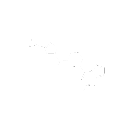 Cc1cc(C2CCCN(C(=O)c3cc(C4CC4)no3)C2)n2ncnc2n1